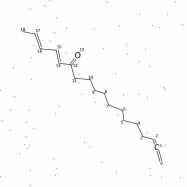 C=C=CCCCCCCCCCC(=O)C=CC=CC